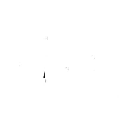 O=[N+]([O-])c1cc(C(F)(F)F)ccc1N1CC[C@@H]2CCCC[C@H]2C1